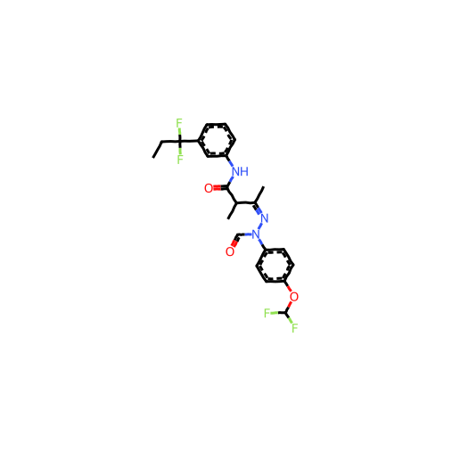 CCC(F)(F)c1cccc(NC(=O)C(C)/C(C)=N\N(C=O)c2ccc(OC(F)F)cc2)c1